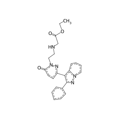 CCOC(=O)CNCCn1nc(-c2c(-c3ccccc3)nn3ccccc23)ccc1=O